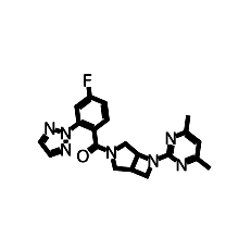 Cc1cc(C)nc(N2CC3CN(C(=O)c4ccc(F)cc4-n4nccn4)CC32)n1